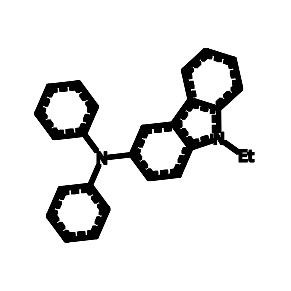 CCn1c2ccccc2c2cc(N(c3ccccc3)c3ccccc3)ccc21